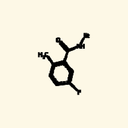 CCNC(=O)c1cc(F)ccc1C